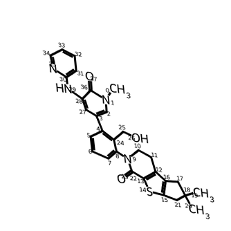 Cn1cc(-c2cccc(N3CCc4c(sc5c4CC(C)(C)C5)C3=O)c2CO)cc(Nc2ccccn2)c1=O